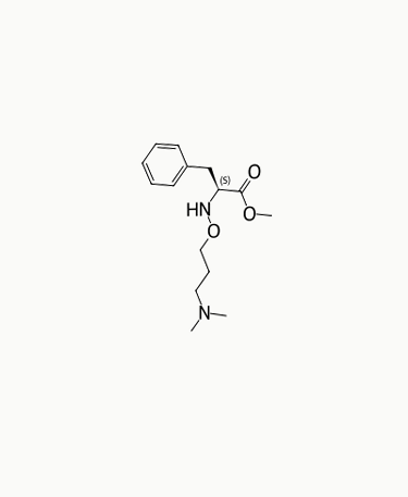 COC(=O)[C@H](Cc1ccccc1)NOCCCN(C)C